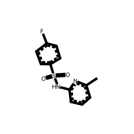 Cc1cccc(NS(=O)(=O)c2ccc(F)cc2)n1